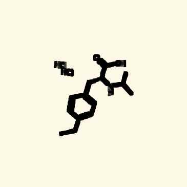 CCc1ccc(C[C@H](NC(C)C)C(=O)O)cc1.Cl.Cl